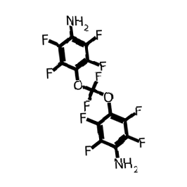 Nc1c(F)c(F)c(OC(F)(F)Oc2c(F)c(F)c(N)c(F)c2F)c(F)c1F